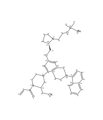 C=CC(=O)N1CCN(c2nc(OC[C@H]3CCCN3CCO[Si](C)(C)C(C)(C)C)nc3c2CCN(c2cccc4ccccc24)C3)CC1CC#N